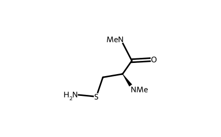 CNC(=O)[C@H](CSN)NC